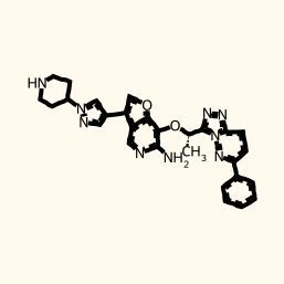 C[C@H](Oc1c(N)ncc2c(-c3cnn(C4CCNCC4)c3)coc12)c1nnc2ccc(-c3ccccc3)nn12